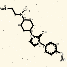 CCCCOc1ccc(-n2ccn(C3CCC(N(C)CCNC)CC3)c2=O)cc1